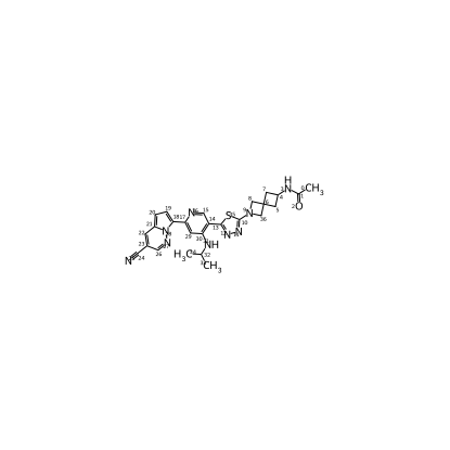 CC(=O)NC1CC2(C1)CN(c1nnc(-c3cnc(-c4ccc5cc(C#N)cnn45)cc3NC(C)C)s1)C2